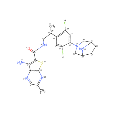 Cc1cnc2c(N)c(C(=O)NC[C@H](C)c3cc(F)c(N4CC5CCC(C4)N5)cc3F)sc2n1